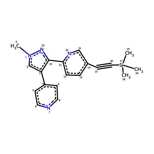 Cn1cc(-c2ccncc2)c(-c2ccc(C#C[Si](C)(C)C)cn2)n1